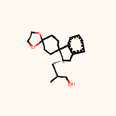 CC(CO)C[C@H]1Cc2ccccc2C12CCC1(CC2)OCCO1